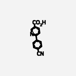 N#Cc1ccc(-c2ccc(C(=O)O)cn2)cc1